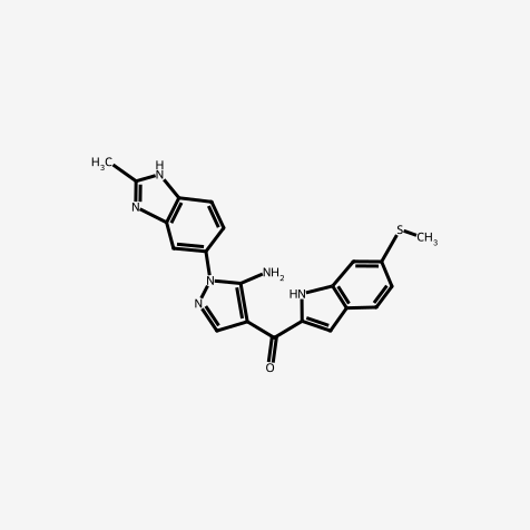 CSc1ccc2cc(C(=O)c3cnn(-c4ccc5[nH]c(C)nc5c4)c3N)[nH]c2c1